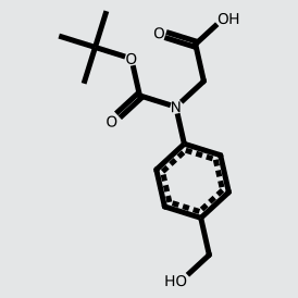 CC(C)(C)OC(=O)N(CC(=O)O)c1ccc(CO)cc1